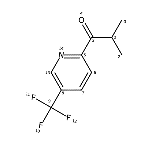 CC(C)C(=O)c1ccc(C(F)(F)F)cn1